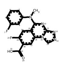 CN(c1cccc(F)c1)c1nc2nncn2c2cc(C(=O)O)c(F)cc12